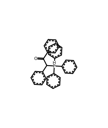 O=C([C](c1ccccc1)[PH](c1ccccc1)(c1ccccc1)c1ccccc1)c1ccccc1